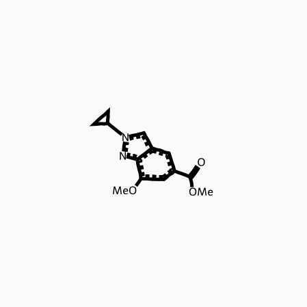 COC(=O)c1cc(OC)c2nn(C3CC3)cc2c1